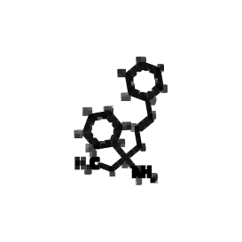 CCC(N)(CC=Cc1ccccc1)c1ccccc1